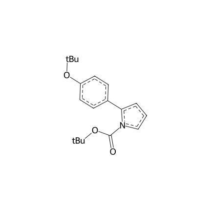 CC(C)(C)OC(=O)n1cccc1-c1ccc(OC(C)(C)C)cc1